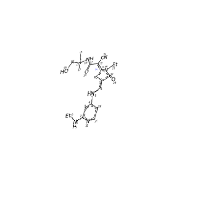 CCNc1cc(NC=c2s/c(=C(/C#N)C(=O)NC(C)(C)CO)n(CC)c2=O)ccn1